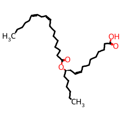 CCCCC/C=C\C/C=C\CCCCCCCC(=O)O[C@@H](C/C=C\CCCCCCCC(=O)O)CCCCCC